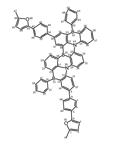 Cc1ccc(-c2ccc(-c3ccc4c(c3)B(c3ccccc3)c3cccc5c3N4c3cccc4c3B5c3cc(-c5ccc(-c6ccc(C)o6)cc5)cc5c3N4c3ccccc3B5c3ccccc3)cc2)o1